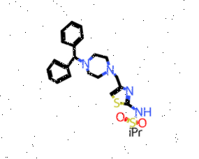 CC(C)S(=O)(=O)Nc1nc(CN2CCN(C(c3ccccc3)c3ccccc3)CC2)cs1